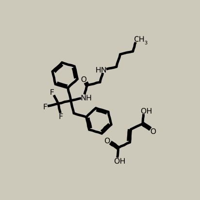 CCCCNCC(=O)NC(Cc1ccccc1)(c1ccccc1)C(F)(F)F.O=C(O)C=CC(=O)O